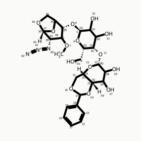 COC1[C@@H](O[C@@H]2O[C@@H](CO)[C@@H](O[C@H]3O[C@H]4COC(c5ccccc5)O[C@H]4C(O)C3O)C(O)C2O)C2CO[C@H](O2)[C@H]1N=[N+]=[N-]